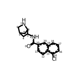 O=C(NC1CC2CNC1C2)c1ccc2c(Cl)cccc2c1